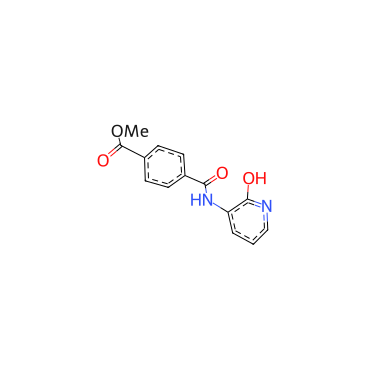 COC(=O)c1ccc(C(=O)Nc2cccnc2O)cc1